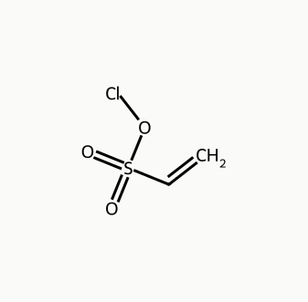 C=CS(=O)(=O)OCl